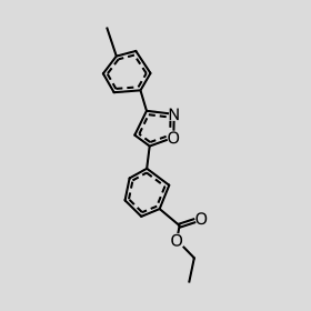 CCOC(=O)c1cccc(-c2cc(-c3ccc(C)cc3)no2)c1